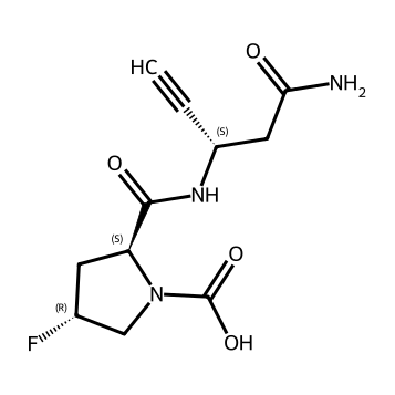 C#C[C@H](CC(N)=O)NC(=O)[C@@H]1C[C@@H](F)CN1C(=O)O